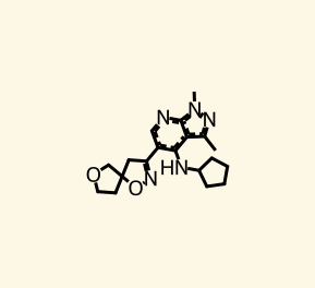 Cc1nn(C)c2ncc(C3=NOC4(CCOC4)C3)c(NC3CCCC3)c12